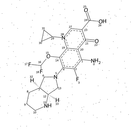 Nc1c(F)c(N2C[C@@H]3CCCN[C@@H]3C2)c(OC(F)F)c2c1c(=O)c(C(=O)O)cn2C1CC1